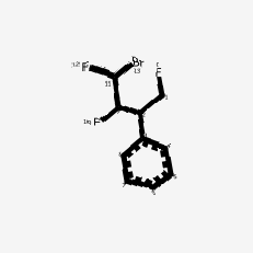 FCC(c1ccccc1)C(F)C(F)Br